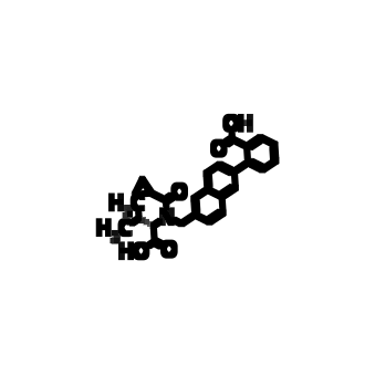 CC(C)[C@@H](C(=O)O)N(Cc1ccc2cc(-c3ccccc3C(=O)O)ccc2c1)C(=O)C1CC1